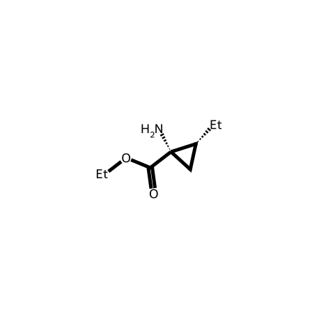 CCOC(=O)[C@]1(N)C[C@H]1CC